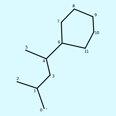 [CH2]C(C)CC(C)C1CCCCC1